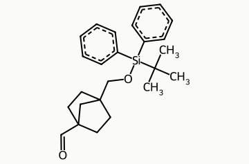 CC(C)(C)[Si](OCC12CCC(C=O)(CC1)C2)(c1ccccc1)c1ccccc1